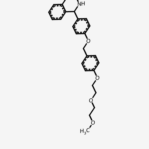 COCCOCCOc1ccc(COc2ccc(C3NCCc4ccccc43)cc2)cc1